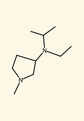 CCN(C(C)C)C1CCN(C)C1